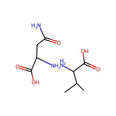 CC(C)C(N)C(=O)O.NC(=O)CC(N)C(=O)O